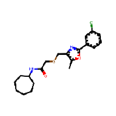 Cc1oc(-c2cccc(Cl)c2)nc1CSCC(=O)NC1CCCCCC1